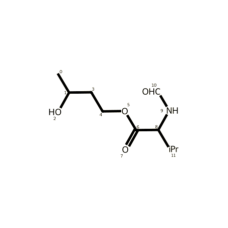 CC(O)CCOC(=O)C(NC=O)C(C)C